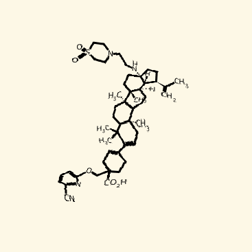 C=C(C)[C@@H]1CC[C@]2(NCCN3CCS(=O)(=O)CC3)CC[C@]3(C)[C@H](CCC4[C@@]5(C)CC=C(C6=CCC(COc7cccc(C#N)n7)(C(=O)O)CC6)C(C)(C)C5CC[C@]43C)[C@@H]12